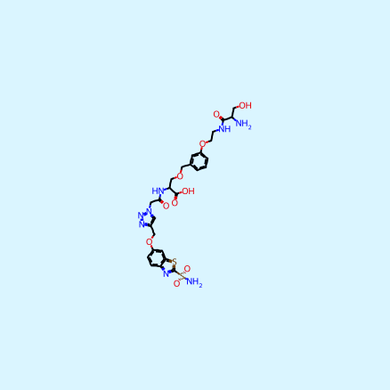 NC(CO)C(=O)NCCOc1cccc(COCC(NC(=O)Cn2cc(COc3ccc4nc(S(N)(=O)=O)sc4c3)nn2)C(=O)O)c1